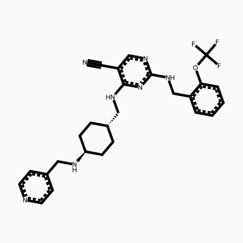 N#Cc1cnc(NCc2ccccc2OC(F)(F)F)nc1NC[C@H]1CC[C@H](NCc2ccncc2)CC1